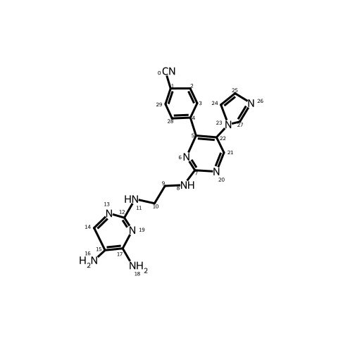 N#Cc1ccc(-c2nc(NCCNc3ncc(N)c(N)n3)ncc2-n2ccnc2)cc1